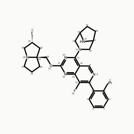 CC(C)c1ccccc1-c1ncc2c(N3CC4CCC(C3)N4)nc(OC[C@@]34CCCN3C[C@H](F)C4)nc2c1F